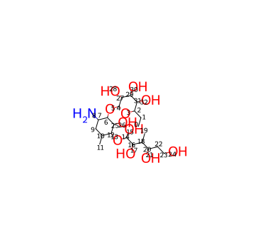 CCC1OC(OC2C(N)CC(C)C(OC(O)C(O)C(C)C(O)CCO)C2O)C(O)C(O)C1O